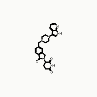 O=C1CCC(N2Cc3cc(CN4CCN(c5c[nH]c6ncccc56)CC4)ccc3C2=O)C(=O)N1